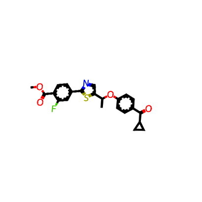 COC(=O)c1ccc(-c2ncc(C(C)Oc3ccc(C(=O)C4CC4)cc3)s2)cc1F